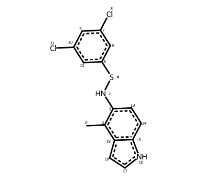 Cc1c(NSc2cc(Cl)cc(Cl)c2)ccc2[nH]ccc12